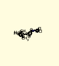 COC1CCC(O)C(C)(OC)N1CCCCN1CCN(C(=O)/C=C/c2ccc(Cl)c(Cl)c2)CCC1=O